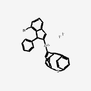 Brc1cccc2c1C(c1ccccc1)[C]([Zr+2][C]1=Cc3c4cccc3C1c1ccc(cc1)S4)=C2.[I-].[I-]